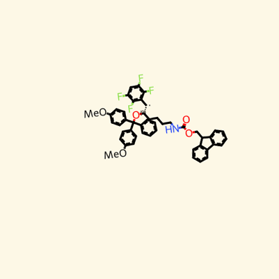 COc1ccc(C(O[C@H]([CH]c2c(F)c(F)cc(F)c2F)CCCCNC(=O)OCC2c3ccccc3-c3ccccc32)(c2ccccc2)c2ccc(OC)cc2)cc1